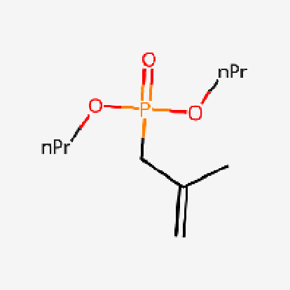 C=C(C)CP(=O)(OCCC)OCCC